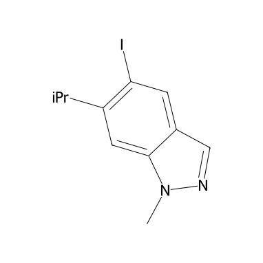 CC(C)c1cc2c(cnn2C)cc1I